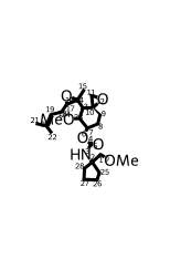 COCC1(NC(=O)OC2CC[C@]3(CO3)C(C3(C)OC3CC=C(C)C)C2OC)CCCC1